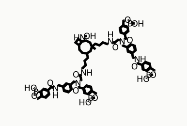 CC1(CCCCNC(=O)CN(Cc2cccc(CNC(=O)c3ccc4c(c3)B(O)OC4)c2)C(=O)c2ccc3c(c2)B(O)OC3)CCC2(NO)CCC2CCC(CCCCNC(=O)CN(Cc2cccc(CNC(=O)c3ccc4c(c3)B(O)OC4)c2)C(=O)c2ccc3c(c2)B(O)OC3)C1